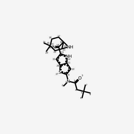 CN(C(=O)CC(C)(C)C)c1cc2[nH]c(C(=N)C34CCC(C)(C)CC3N4)cc2s1